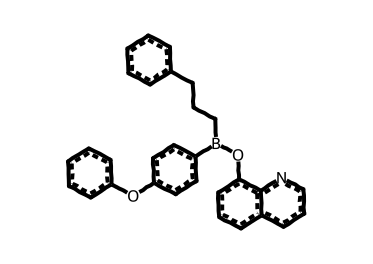 c1ccc(CCCB(Oc2cccc3cccnc23)c2ccc(Oc3ccccc3)cc2)cc1